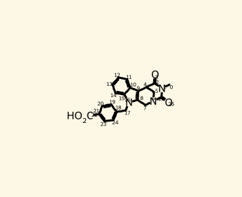 CN1C(=O)C2CN(Cc3c2c2ccccc2n3Cc2ccc(C(=O)O)cc2)C1=O